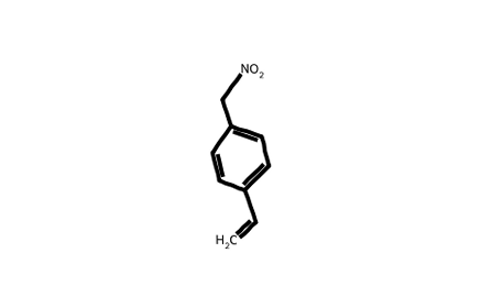 C=Cc1ccc(C[N+](=O)[O-])cc1